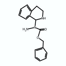 NN(C(=O)OCc1ccccc1)C1NCCc2ccccc21